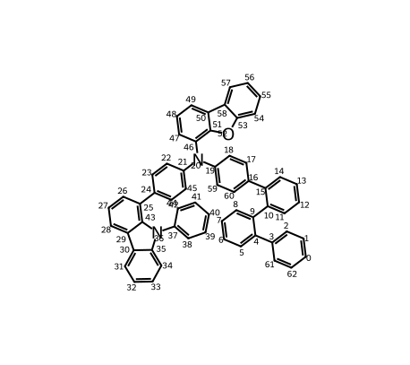 c1ccc(-c2ccccc2-c2ccccc2-c2ccc(N(c3ccc(-c4cccc5c6ccccc6n(-c6ccccc6)c45)cc3)c3cccc4c3oc3ccccc34)cc2)cc1